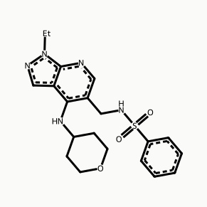 CCn1ncc2c(NC3CCOCC3)c(CNS(=O)(=O)c3ccccc3)cnc21